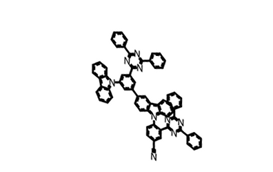 N#Cc1ccc(-n2c3ccccc3c3cc(-c4cc(-c5nc(-c6ccccc6)nc(-c6ccccc6)n5)cc(-n5c6ccccc6c6ccccc65)c4)ccc32)c(-c2nc(-c3ccccc3)nc(-c3ccccc3)n2)c1